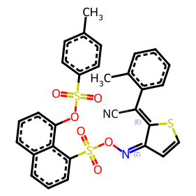 Cc1ccc(S(=O)(=O)Oc2cccc3cccc(S(=O)(=O)O/N=C4/C=CS/C4=C(/C#N)c4ccccc4C)c23)cc1